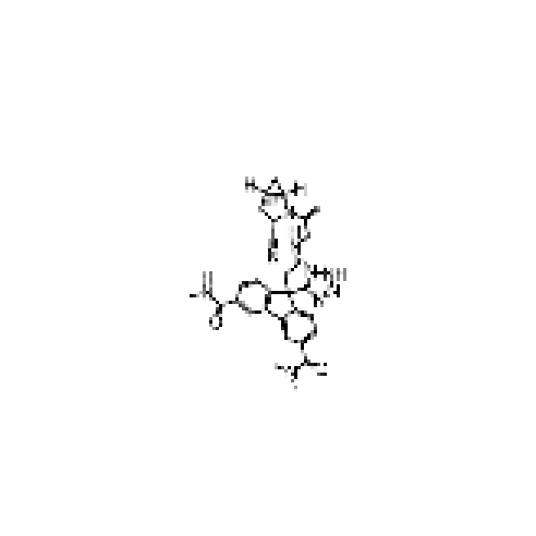 C=C(CN[C@H](C)CC1(c2nn[nH]n2)c2ccc(C(=O)NC)cc2-c2cc(C(=O)N(C)C)ccc21)N1C(C#N)C[C@@H]2C[C@@H]21